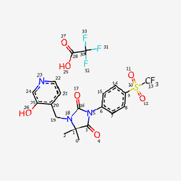 CC1(C)C(=O)N(c2ccc(S(=O)(=O)C(F)(F)F)cc2)C(=O)N1Cc1ccncc1O.O=C(O)C(F)(F)F